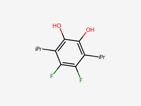 CC(C)c1c(O)c(O)c(C(C)C)c(F)c1F